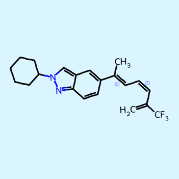 C=C(/C=C\C=C(/C)c1ccc2nn(C3CCCCC3)cc2c1)C(F)(F)F